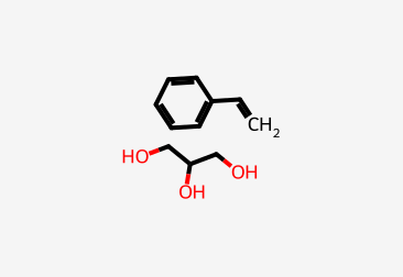 C=Cc1ccccc1.OCC(O)CO